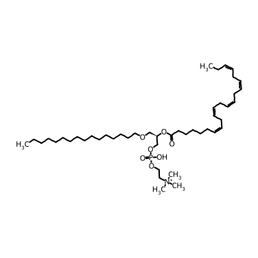 CC/C=C\C/C=C\C/C=C\C/C=C\C/C=C\CCCCCC(=O)O[C@H](COCCCCCCCCCCCCCCCC)COP(=O)(O)OCC[N+](C)(C)C